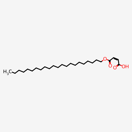 CCCCCCCCCCCCCCCCCCCCCCOC(=O)/C=C\C(=O)O